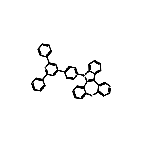 c1ccc(-c2cc(-c3ccc(-n4c5c(c6ccccc64)-c4cnccc4Oc4ccccc4-5)cc3)cc(-c3ccccc3)n2)cc1